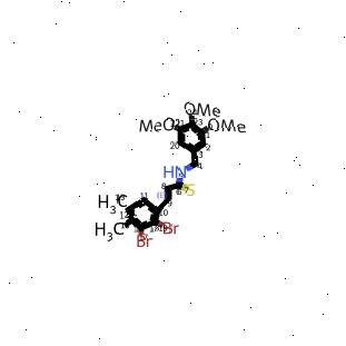 COc1cc(CNC(=S)/C=C/c2cc(C)c(C)c(Br)c2Br)cc(OC)c1OC